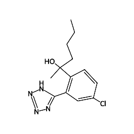 CCCCC(C)(O)c1ccc(Cl)cc1-c1nnn[nH]1